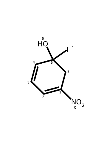 O=[N+]([O-])C1=CC=CC(O)(I)C1